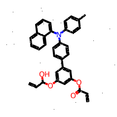 C=CC(=O)Oc1cc(OC(O)C=C)cc(-c2ccc(N(c3ccc(C)cc3)c3cccc4ccccc34)cc2)c1